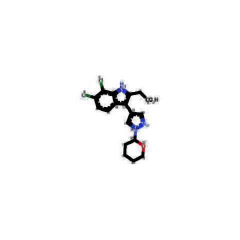 O=C(O)Cc1[nH]c2c(Cl)c(Cl)ccc2c1-c1cnn(C2CCCCO2)c1